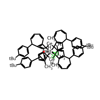 CC1=CC2=C(C=CC=CC2c2ccc(C(C)(C)C)cc2)[C]12[GeH]([CH3])[C]1(C(C)=CC3=C1C=CC=CC3c1ccc(C(C)(C)C)cc1)[Hf]21([Cl])([Cl])[C]2(C(C)=CC3=C2C=CC=CC3c2ccc(C(C)(C)C)cc2)[GeH]([CH3])[C]12C(C)=CC1=C2C=CC=CC1c1ccc(C(C)(C)C)cc1